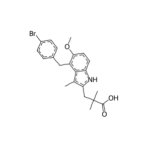 COc1ccc2[nH]c(CC(C)(C)C(=O)O)c(C)c2c1Cc1ccc(Br)cc1